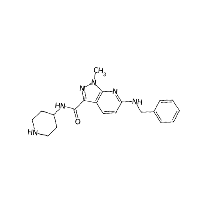 Cn1nc(C(=O)NC2CCNCC2)c2ccc(NCc3ccccc3)nc21